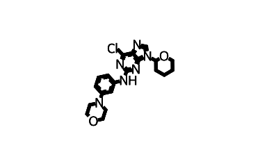 Clc1nc(Nc2cccc(N3CCOCC3)c2)nc2c1ncn2C1CCCCO1